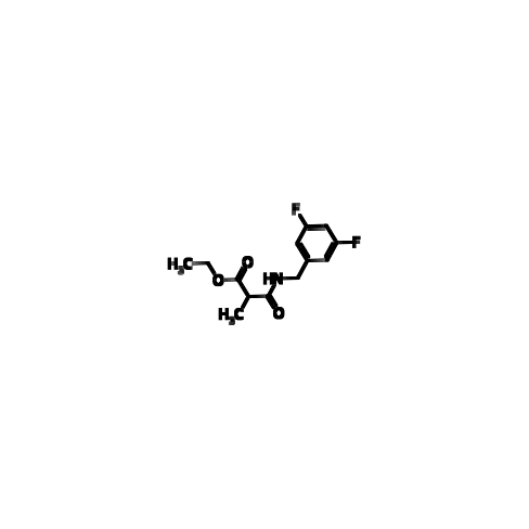 CCOC(=O)C(C)C(=O)NCc1cc(F)cc(F)c1